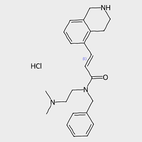 CN(C)CCN(Cc1ccccc1)C(=O)/C=C/c1cccc2c1CCNC2.Cl